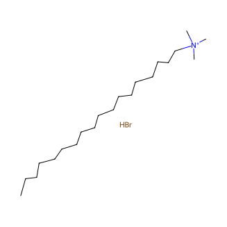 Br.CCCCCCCCCCCCCCCCCC[N+](C)(C)C